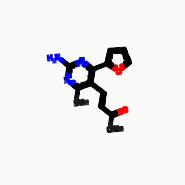 COC(=O)/C=C/c1c(SC)nc(N)nc1-c1ccco1